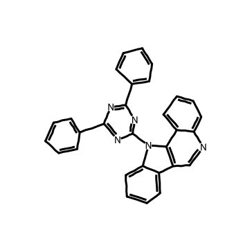 c1ccc(-c2nc(-c3ccccc3)nc(-n3c4ccccc4c4cnc5ccccc5c43)n2)cc1